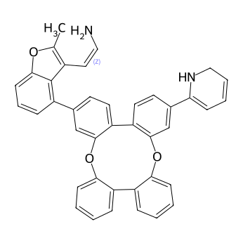 Cc1oc2cccc(-c3ccc4c(c3)Oc3ccccc3-c3ccccc3Oc3cc(C5=CC=CCN5)ccc3-4)c2c1/C=C\N